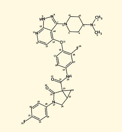 CN(C)C1CCN(c2n[nH]c3nccc(Oc4ccc(NC(=O)C56CC5CN(c5ccc(F)cc5)C6=O)cc4F)c23)CC1